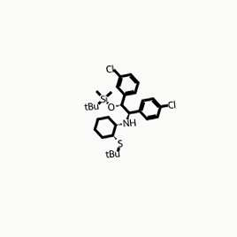 CC(C)(C)S[C@@H]1CCCC[C@@H]1N[C@H](c1ccc(Cl)cc1)[C@H](O[Si](C)(C)C(C)(C)C)c1cccc(Cl)c1